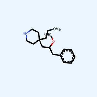 COCCC1(CC(Cc2ccccc2)OC=O)CCNCC1